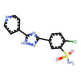 NS(=O)(=O)c1cc(-c2n[nH]c(-c3ccncc3)n2)ccc1Cl